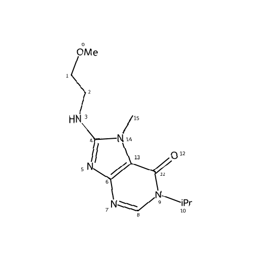 COCCNc1nc2ncn(C(C)C)c(=O)c2n1C